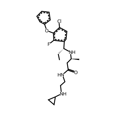 CC[C@@H](N[C@@H](C)CC(=O)NCCNC1CC1)c1ccc(Cl)c(Oc2ccccc2)c1F